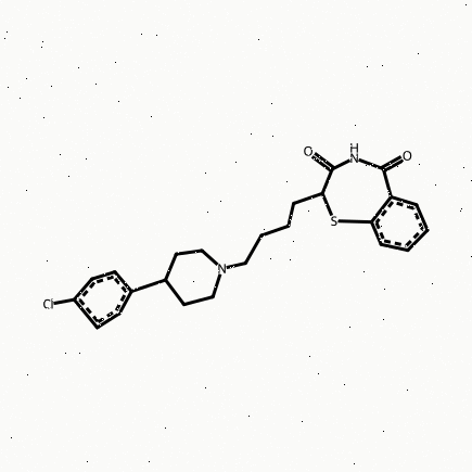 O=C1NC(=O)C(CCCCN2CCC(c3ccc(Cl)cc3)CC2)Sc2ccccc21